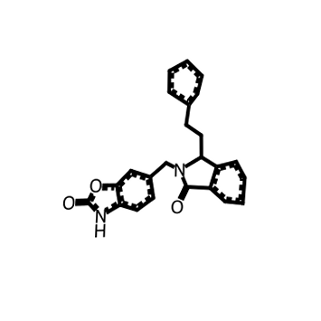 O=C1c2ccccc2C(CCc2ccccc2)N1Cc1ccc2[nH]c(=O)oc2c1